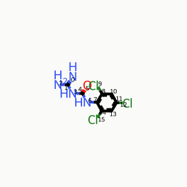 N=C(N)NC(=O)Nc1c(Cl)cc(Cl)cc1Cl